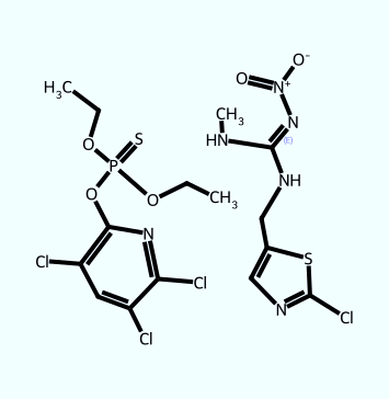 CCOP(=S)(OCC)Oc1nc(Cl)c(Cl)cc1Cl.CN/C(=N\[N+](=O)[O-])NCc1cnc(Cl)s1